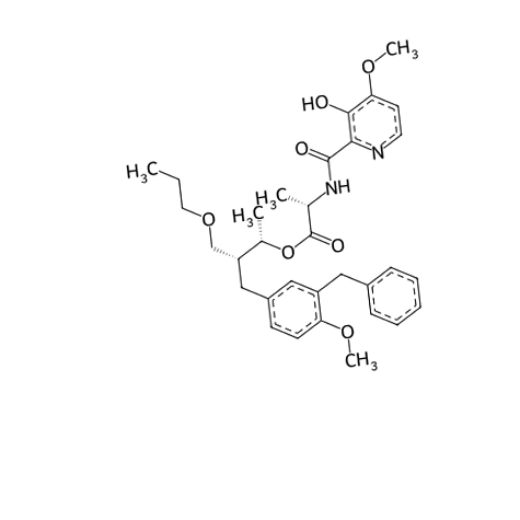 CCCOC[C@@H](Cc1ccc(OC)c(Cc2ccccc2)c1)[C@H](C)OC(=O)[C@H](C)NC(=O)c1nccc(OC)c1O